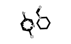 Clc1ccc(Br)cn1.O=CN1CCCCC1